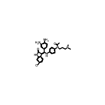 CC(=O)N(CCCN(C)C)c1ccc(NC(=C2C(=O)Nc3cc(Cl)ccc32)c2ccc(N)c(N)c2)cc1